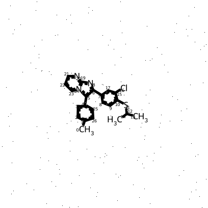 Cc1ccc(-c2c(-c3ccc(SC(C)C)c(Cl)c3)nc3ncccn23)cc1